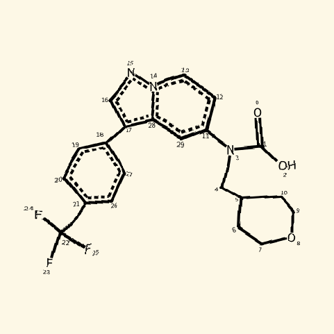 O=C(O)N(CC1CCOCC1)c1ccn2ncc(-c3ccc(C(F)(F)F)cc3)c2c1